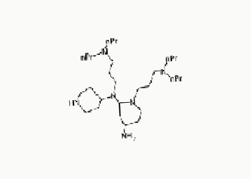 CCCN(CCC)CCCN1CCC(N)CC1N(CCCN(CCC)CCC)C1CCNCC1